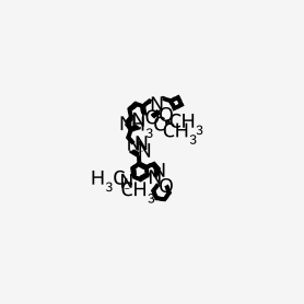 CN(C)c1cc(-c2cn(Cc3cn4cc(CN(CC5CCC5)C(=O)OC(C)(C)C)ccc4n3)nn2)c2cnn(C3CCCCO3)c2c1